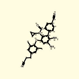 Cc1cc(CCC#N)cc(C)c1Oc1cc(N)c(N)c(-c2ccc(C#N)cc2)c1N(C=O)C1CC1